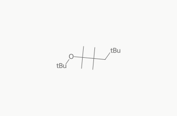 CC(C)(C)CC(C)(C)C(C)(C)OC(C)(C)C